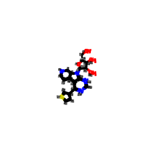 OC[C@H]1O[C@@H](n2c3cnccc3c3c(-c4ccsc4)ncnc32)[C@H](O)[C@@H]1O